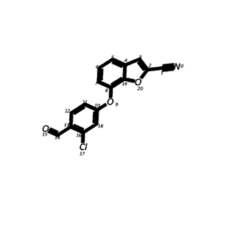 N#Cc1cc2cccc(Oc3ccc(C=O)c(Cl)c3)c2o1